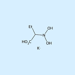 CCC(C(=O)O)N(O)O.[K]